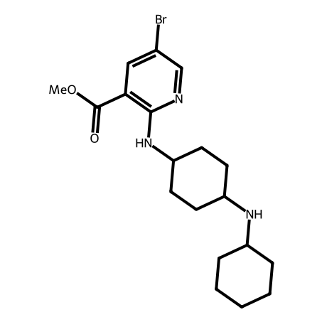 COC(=O)c1cc(Br)cnc1NC1CCC(NC2CCCCC2)CC1